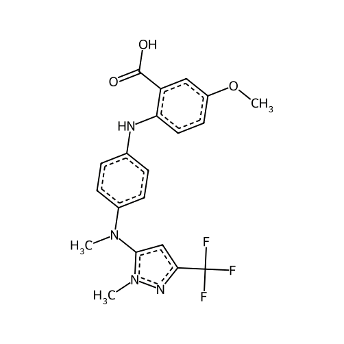 COc1ccc(Nc2ccc(N(C)c3cc(C(F)(F)F)nn3C)cc2)c(C(=O)O)c1